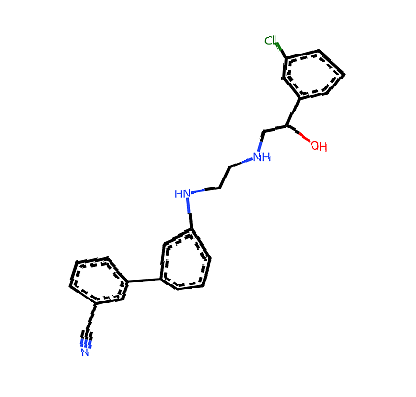 N#Cc1cccc(-c2cccc(NCCNCC(O)c3cccc(Cl)c3)c2)c1